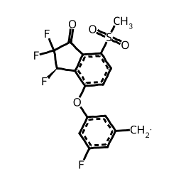 [CH2]c1cc(F)cc(Oc2ccc(S(C)(=O)=O)c3c2[C@@H](F)C(F)(F)C3=O)c1